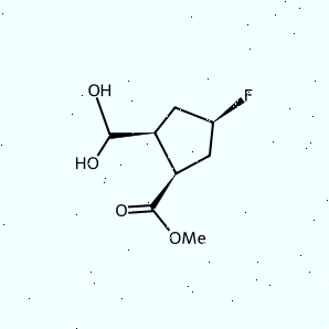 COC(=O)[C@@H]1C[C@H](F)C[C@@H]1C(O)O